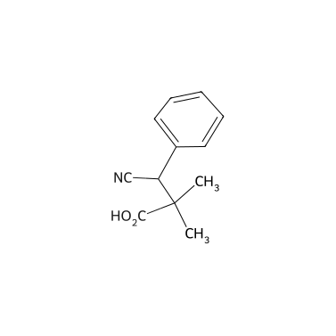 CC(C)(C(=O)O)C(C#N)c1ccccc1